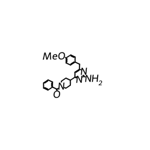 COc1ccc(Cc2cc(C3CCN(C(=O)c4ccccc4)CC3)nc(N)n2)cc1